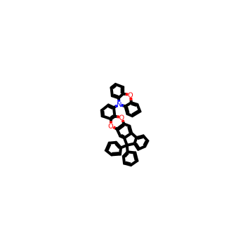 c1ccc(C2(c3ccccc3)c3ccccc3-c3cc4c(cc32)Oc2cccc(N3c5ccccc5Oc5ccccc53)c2O4)cc1